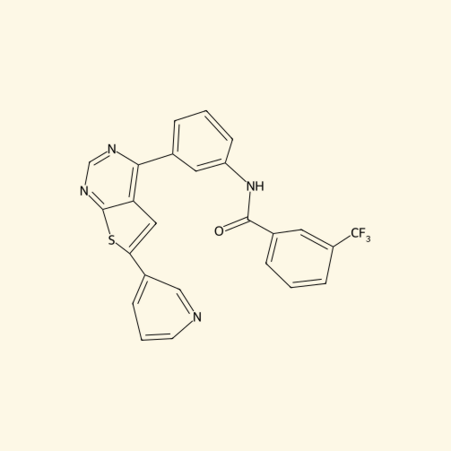 O=C(Nc1cccc(-c2ncnc3sc(-c4cccnc4)cc23)c1)c1cccc(C(F)(F)F)c1